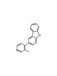 Cc1cnccc1-c1ccc2oc3ccccc3c2c1